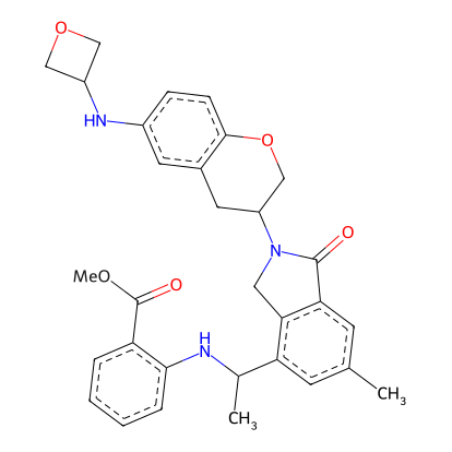 COC(=O)c1ccccc1NC(C)c1cc(C)cc2c1CN(C1COc3ccc(NC4COC4)cc3C1)C2=O